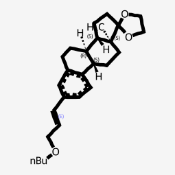 CCCCOC/C=C/c1ccc2c(c1)CC[C@@H]1[C@@H]2CC[C@@]2(C)[C@H]1CCC21OCCO1